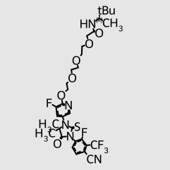 C[C@@H](NC(=O)COCCOCCOCCOc1ncc(N2C(=S)N(c3ccc(C#N)c(C(F)(F)F)c3F)C(=O)C2(C)C)cc1F)C(C)(C)C